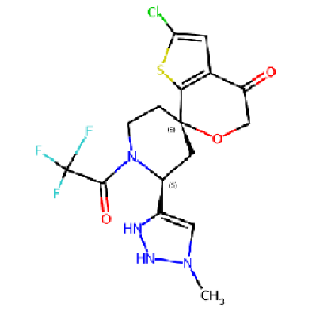 CN1C=C([C@@H]2C[C@]3(CCN2C(=O)C(F)(F)F)OCC(=O)c2cc(Cl)sc23)NN1